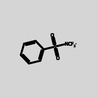 O=S(=O)([N]C(F)(F)F)c1ccccc1